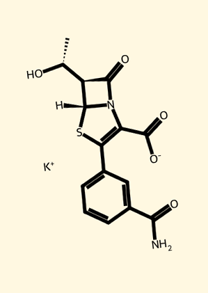 C[C@@H](O)[C@H]1C(=O)N2C(C(=O)[O-])=C(c3cccc(C(N)=O)c3)S[C@H]12.[K+]